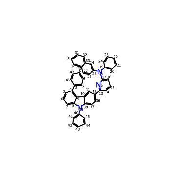 c1ccc(-c2cccc3c2c2cc(-c4cccc(N(c5ccccc5)c5ccc6ccccc6c5)n4)ccc2n3-c2ccccc2)cc1